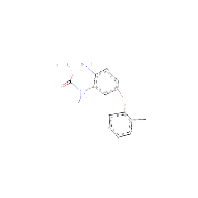 Cc1ccccc1Oc1ccc(N)c(N(C)C(=O)OC(C)(C)C)c1